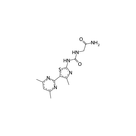 Cc1cc(C)nc(-c2sc(NC(=O)NCC(N)=O)nc2C)n1